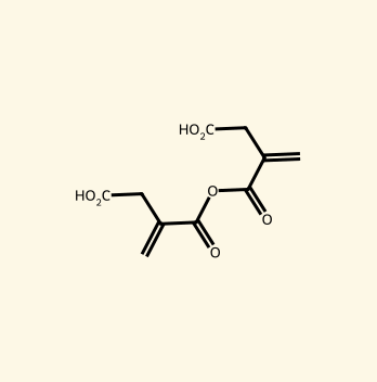 C=C(CC(=O)O)C(=O)OC(=O)C(=C)CC(=O)O